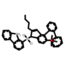 CCCCC1=Cc2c(ccc(C(C)(C)C)c2-c2ccccc2-c2ccccc2)[CH]1[Zr]([Cl])([Cl])[c]1cccc2c1[SiH2]c1ccccc1-2